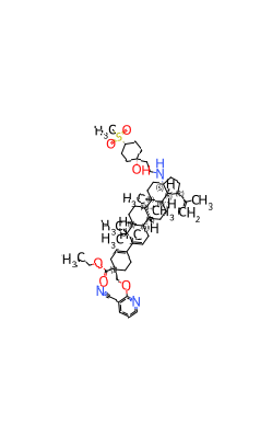 C=C(C)[C@@H]1CC[C@]2(NCC[C@]3(O)CC[C@@H](S(C)(=O)=O)CC3)CC[C@]3(C)[C@H](CC[C@@H]4[C@@]5(C)CC=C(C6=CC[C@@](COc7ncccc7C#N)(C(=O)OCC)CC6)C(C)(C)[C@@H]5CC[C@]43C)[C@@H]12